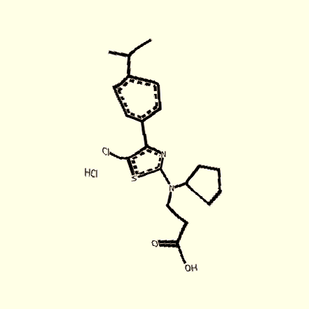 CC(C)c1ccc(-c2nc(N(CCC(=O)O)C3CCCC3)sc2Cl)cc1.Cl